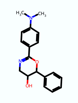 CN(C)c1ccc(C2=NCC(O)C(c3ccccc3)O2)cc1